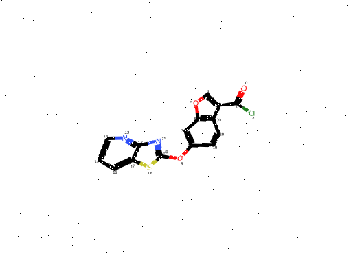 O=C(Cl)c1coc2cc(Oc3nc4ncccc4s3)ccc12